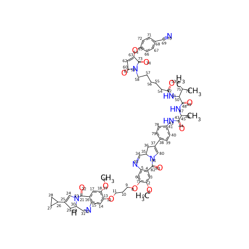 COc1cc2c(cc1OCCCOc1cc3c(cc1OC)C(=O)N1C=C(C4CC4)C[C@@H]1C=N3)N=CC1CC(c3ccc(NC(=O)C(C)NC(=O)C(NC(=O)CCCCCN4C(=O)C=C(Oc5ccc(C#N)cc5)C4=O)C(C)C)cc3)=CN1C2=O